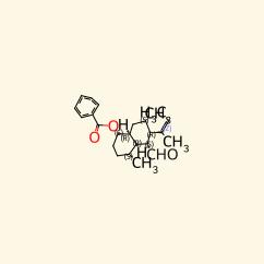 C/C=C(/C)[C@H]1[C@@H](C=O)[C@H]2[C@@H](C[C@@H]1C)[C@@H](OC(=O)c1ccccc1)CC[C@@H]2C